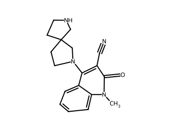 Cn1c(=O)c(C#N)c(N2CCC3(CCNC3)C2)c2ccccc21